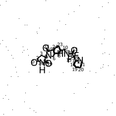 O=C1CCC(N2Cc3cc(CNC(=O)C(F)(F)c4ccccn4)ccc3C2=O)C(=O)N1